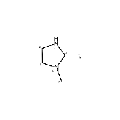 CC1NCCN1C